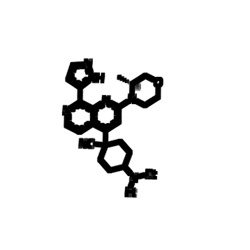 CCN(CC)C1CCC(C#N)(c2cc(N3CCOC[C@H]3C)nc3c(-c4ccn[nH]4)nccc23)CC1